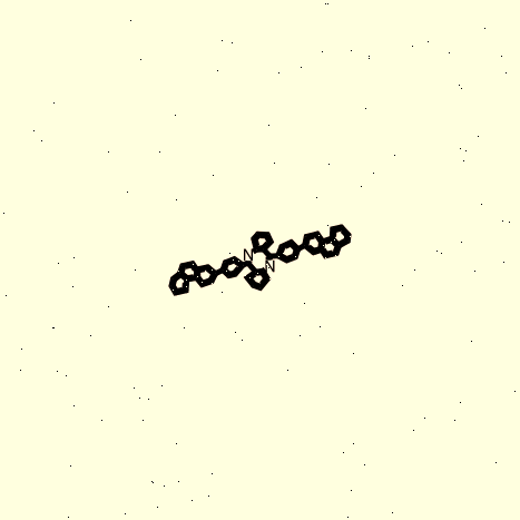 c1ccc2c(c1)/N=C(/c1ccc(-c3ccc4c(ccc5ccccc54)c3)cc1)c1ccccc1/N=C\2c1ccc(-c2ccc3c(ccc4ccccc43)c2)cc1